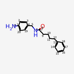 Nc1ccc(CNC(=O)CCCCc2ccccc2)cc1